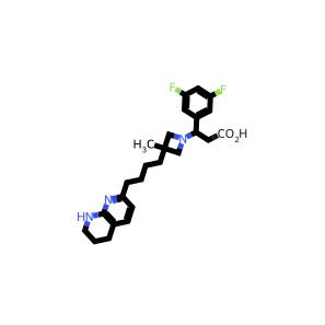 CC1(CCCCc2ccc3c(n2)NCCC3)CN(C(CC(=O)O)c2cc(F)cc(F)c2)C1